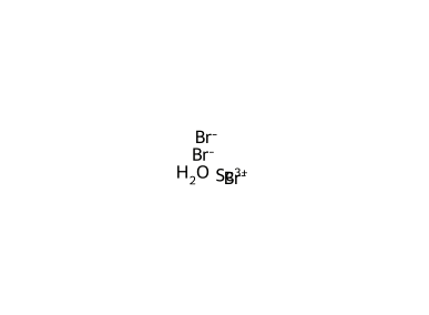 O.[Br-].[Br-].[Br-].[Sc+3]